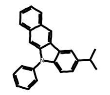 CC(C)c1ccc2c(c1)c1cc3ccccc3cc1n2-c1ccccc1